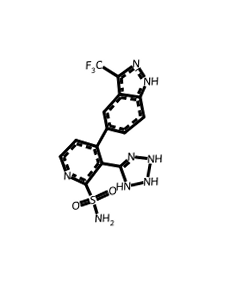 NS(=O)(=O)c1nccc(-c2ccc3[nH]nc(C(F)(F)F)c3c2)c1C1=NNNN1